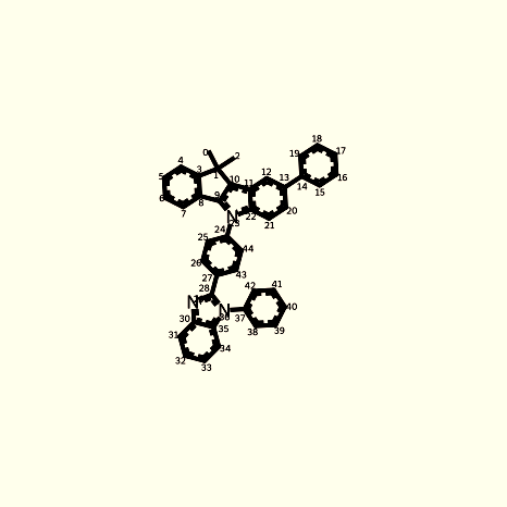 CC1(C)c2ccccc2-c2c1c1cc(-c3ccccc3)ccc1n2-c1ccc(-c2nc3ccccc3n2-c2ccccc2)cc1